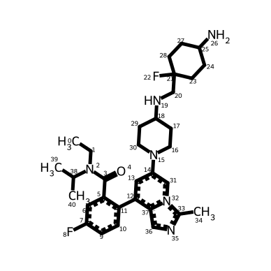 CCN(C(=O)c1cc(F)ccc1-c1cc(N2CCC(NCC3(F)CCC(N)CC3)CC2)cn2c(C)ncc12)C(C)C